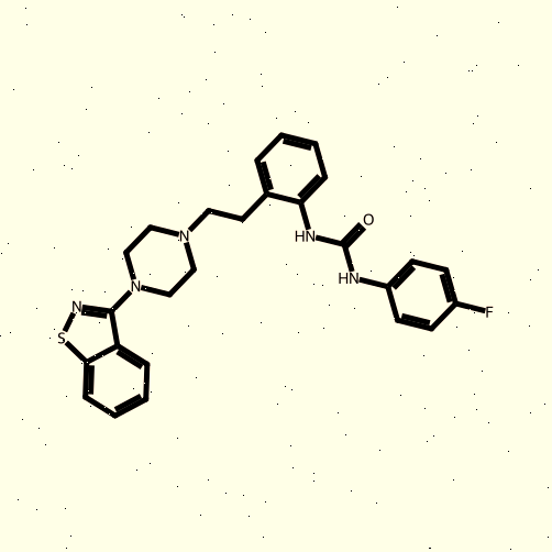 O=C(Nc1ccc(F)cc1)Nc1ccccc1CCN1CCN(c2nsc3ccccc23)CC1